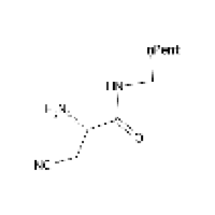 CCCCCCNC(=O)[C@@H](N)CC#N